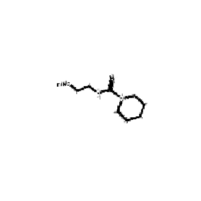 CCCCCCCCNC(=N)N1CCCCC1